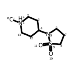 [CH2-][NH+]1CCC(N2CCCS2(=O)=O)CC1